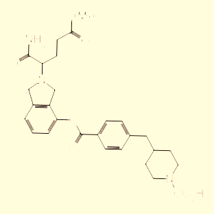 COC(=O)CCC(C(N)=O)N1Cc2cccc(OC(=O)c3ccc(CC4CCN(C(=O)O)CC4)cc3)c2C1